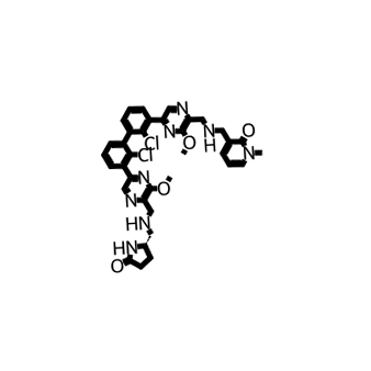 COc1nc(-c2cccc(-c3cccc(-c4cnc(CNC[C@@H]5CCC(=O)N5)c(OC)n4)c3Cl)c2Cl)cnc1CNCc1cccn(C)c1=O